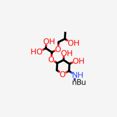 CCCCNC1OCC(OC(OCC(C)O)C(O)O)C(O)C1O